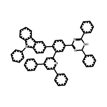 c1ccc(C2=NC(c3ccc(-c4ccc5c(c4)c4ccccc4n5-c4ccccc4)c(-c4cc(-c5ccccc5)cc(-c5ccccc5)n4)c3)=NC(c3ccccc3)N2)cc1